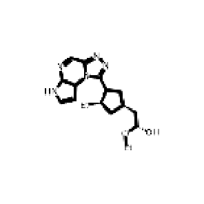 CCO[C@@H](O)C[C@@H]1CC(c2nnc3n2C2C=CNC2N=C3)[C@H](CC)C1